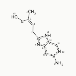 CC(=CCc1nc2nc(N)ncc2[nH]1)CO